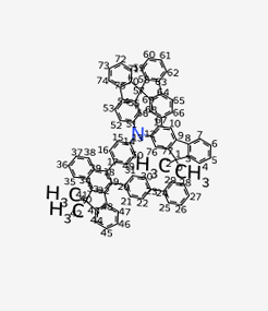 CC1(C)c2ccccc2-c2ccc(N(c3ccc(-c4c(-c5ccc(-c6ccccc6)cc5)c5c(c6ccccc46)C(C)(C)c4ccccc4-5)cc3)c3ccc4c(c3)C3(c5ccccc5-c5ccccc53)c3ccccc3-4)cc21